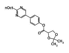 CCCCCCCCc1ncc(-c2ccc(OC(=O)C3COC(C)(C)O3)cc2)cn1